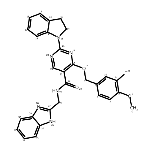 COc1ccc(COc2nc(N3CCc4ccccc43)ncc2C(=O)NCc2nc3ccccc3[nH]2)cc1F